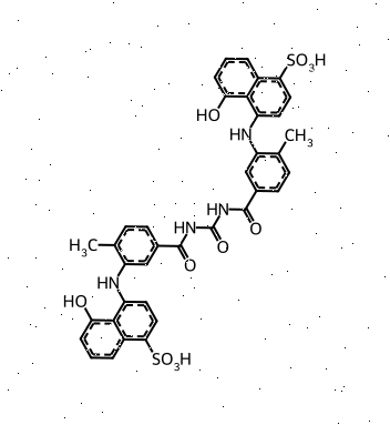 Cc1ccc(C(=O)NC(=O)NC(=O)c2ccc(C)c(Nc3ccc(S(=O)(=O)O)c4cccc(O)c34)c2)cc1Nc1ccc(S(=O)(=O)O)c2cccc(O)c12